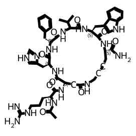 CC(=O)N[C@@H](CCCNC(=N)N)C(=O)N[C@H]1CC(=O)NCCCC[C@@H](C(N)=O)NC(=O)[C@H](Cc2c[nH]c3ccccc23)NC(=O)C(C(C)C)NC(=O)[C@@H](Cc2ccccc2)NC(=O)[C@H](Cc2c[nH]cn2)NC1=O